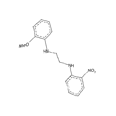 COc1ccccc1NCCNc1ccccc1[N+](=O)[O-]